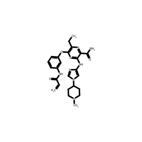 C=CC(=O)Nc1cccc(Oc2nc(Nc3cn(C4CCN(C)CC4)cn3)c(C(N)=O)nc2CC)c1